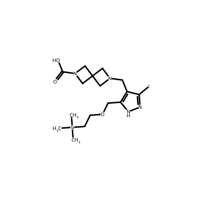 C[Si](C)(C)CCOCc1[nH]nc(I)c1CN1CC2(C1)CN(C(=O)O)C2